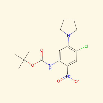 CC(C)(C)OC(=O)Nc1cc(N2CCCC2)c(Cl)cc1[N+](=O)[O-]